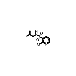 C=C(C)CNS(=O)(=O)c1cccnc1Cl